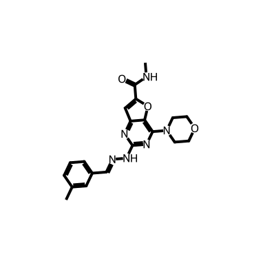 CNC(=O)c1cc2nc(N/N=C/c3cccc(C)c3)nc(N3CCOCC3)c2o1